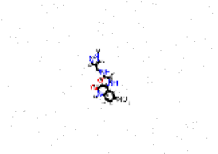 C[C@@H](Nc1cc(=O)n(C)c2ccc([N+](=O)[O-])cc12)C(=O)NCc1cnn(C)c1